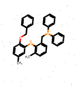 Cc1ccc(OCc2ccccc2)c(Pc2c(C)cccc2CP(c2ccccc2)c2ccccc2)c1